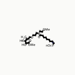 CCCCCCCC/C=C\CCCCCCC(=O)N(CCCOCC1OC(OC)[C@@H](O)[C@@H](O)[C@H]1C)CCOC